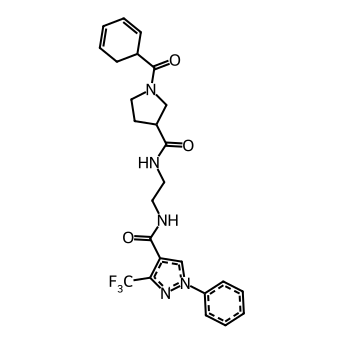 O=C(NCCNC(=O)C1CCN(C(=O)C2C=CC=CC2)C1)c1cn(-c2ccccc2)nc1C(F)(F)F